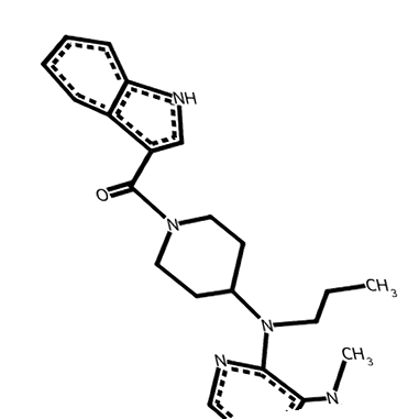 CCCN(c1ncccc1N(C)CC)C1CCN(C(=O)c2c[nH]c3ccccc23)CC1